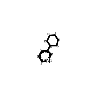 [c]1ncccc1C1CCCCC1